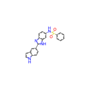 O=S(=O)(Nc1ccc2nc(-c3ccc4[nH]ccc4c3)[nH]c2c1)c1ccccc1